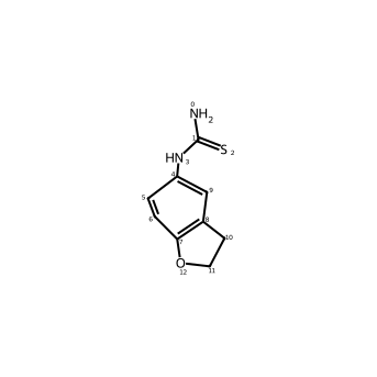 NC(=S)Nc1ccc2c(c1)CCO2